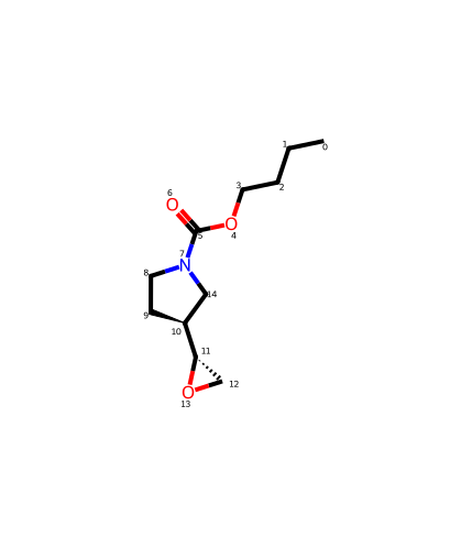 CCCCOC(=O)N1CC[C@H]([C@@H]2CO2)C1